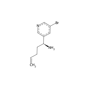 C=CCC[C@H](N)c1cncc(Br)c1